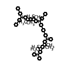 CC1(C)c2cc(N(c3ccccc3)c3ccccc3)ccc2-c2cc3c(cc21)-c1ccc(N(c2ccccc2)c2ccc(-c4ccc(-c5ccc(N(c6ccc(-c7ccccc7)cc6)c6ccc7c(c6)C(C)(C)c6cc8c(cc6-7)C(C)(C)c6cc(N(c7ccc(-c9ccccc9)cc7)c7ccc(-c9ccccc9)cc7)ccc6-8)cc5)cc4)cc2)cc1C3(C)C